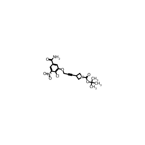 CC(C)(C)OC(=O)N1CC(C#CCOc2cc(C(N)=O)cc([N+](=O)[O-])c2Cl)C1